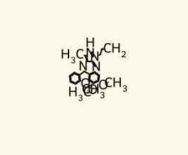 C=CCN1NC(C)=C2N=C(c3ccccc3OC)c3cc(OC)c(OC)cc3N=C21